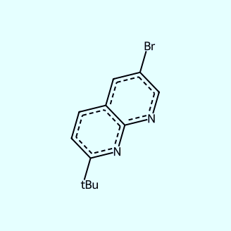 CC(C)(C)c1ccc2cc(Br)cnc2n1